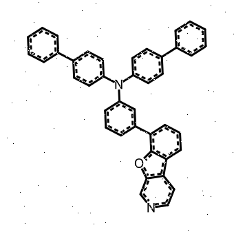 c1ccc(-c2ccc(N(c3ccc(-c4ccccc4)cc3)c3cccc(-c4cccc5c4oc4cnccc45)c3)cc2)cc1